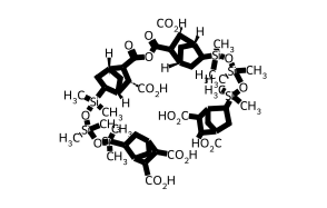 C[Si](C)(O[Si](C)(C)C1CC2CC1C(C(=O)O)C2C(=O)O)O[Si](C)(C)C1C[C@H]2C[C@@H]1[C@@H](C(=O)O)C2C(=O)OC(=O)C1[C@H]2CC([Si](C)(C)O[Si](C)(C)O[Si](C)(C)C3CC4CC3C(C(=O)O)C4C(=O)O)[C@H](C2)[C@H]1C(=O)O